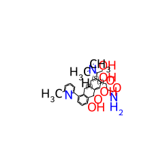 Cc1cccc(-c2ccc(O)c3c2C[C@H]2C[C@@H](C(CO)N(C)C)[C@@](O)(C(=O)CC(N)=O)C(O)=C2C3=O)n1